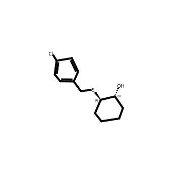 O[C@@H]1CCCC[C@H]1SCc1ccc(Cl)cc1